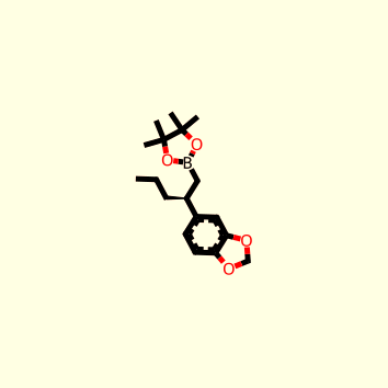 CCC[C@@H](CB1OC(C)(C)C(C)(C)O1)c1ccc2c(c1)OCO2